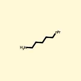 CCCCCCC[CH2][InH2]